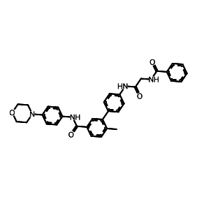 Cc1ccc(C(=O)Nc2ccc(N3CCOCC3)cc2)cc1-c1ccc(NC(=O)CNC(=O)c2ccccc2)cc1